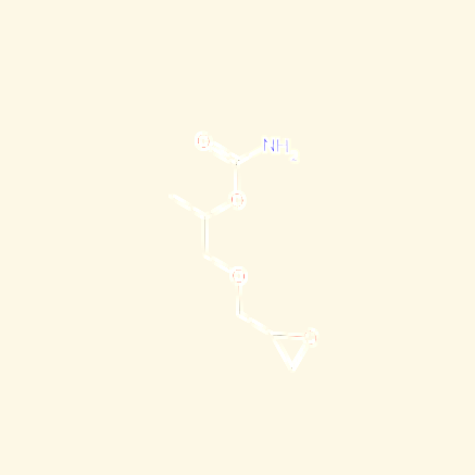 CC(COCC1CO1)OC(N)=O